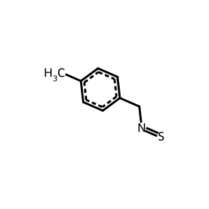 Cc1ccc(CN=S)cc1